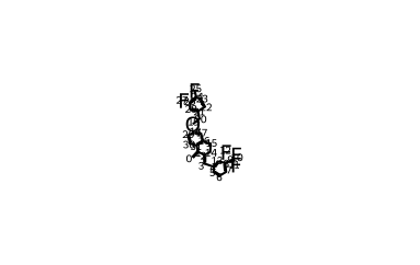 C=C1/C(=C/c2cccc(C(F)(F)F)c2)CCc2cc(OCc3ccc(F)c(F)c3)ccc21